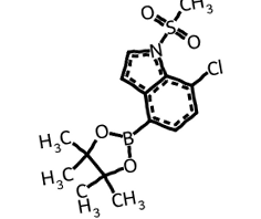 CC1(C)OB(c2ccc(Cl)c3c2ccn3S(C)(=O)=O)OC1(C)C